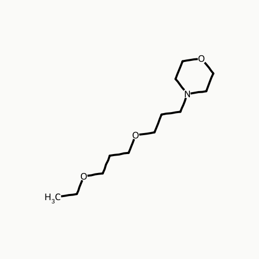 CCOCCCOCCCN1CCOCC1